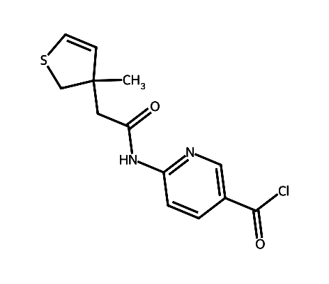 CC1(CC(=O)Nc2ccc(C(=O)Cl)cn2)C=CSC1